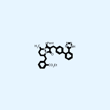 CCCCCc1c(Cc2ccc(-c3ccccc3-c3nnn[nH]3)cc2)c(=O)n2n1C(C)CCC2Cc1ccccc1C(=O)OCC